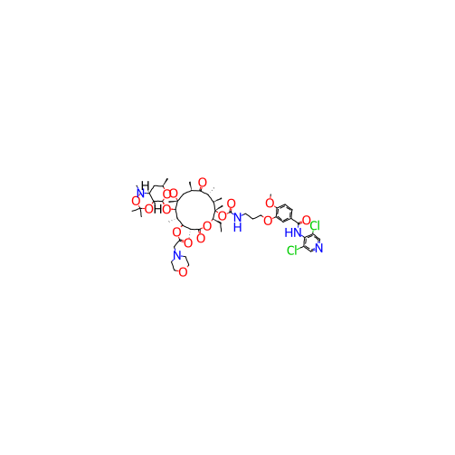 CC[C@H]1OC(=O)[C@H](C)[C@@H](OC(=O)CN2CCOCC2)[C@H](C)[C@@H](O[C@@H]2O[C@H](C)C[C@H]3[C@H]2OC(C)(C)ON3C)[C@](C)(OC)C[C@@H](C)C(=O)[C@H](C)[C@@H](C)[C@]1(C)OC(=O)NCCCOc1cc(C(=O)Nc2c(Cl)cncc2Cl)ccc1OC